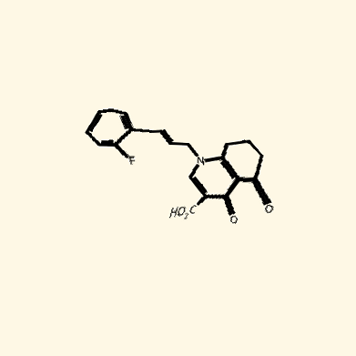 O=C(O)c1cn(C/C=C/c2ccccc2F)c2c(c1=O)C(=O)CCC2